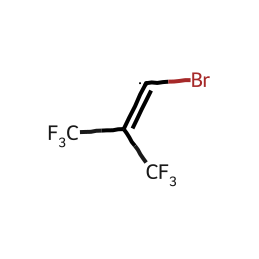 FC(F)(F)C(=[C]Br)C(F)(F)F